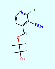 CC(C)(O)C(C)(C)OBc1ccnc(Cl)c1C#N